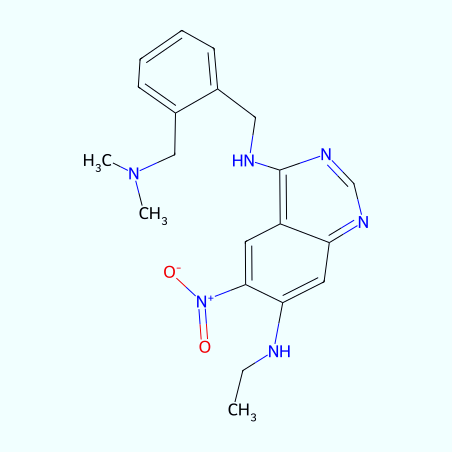 CCNc1cc2ncnc(NCc3ccccc3CN(C)C)c2cc1[N+](=O)[O-]